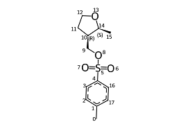 Cc1ccc(S(=O)(=O)OC[C@H]2CCO[C@H]2C)cc1